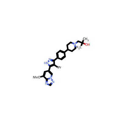 COc1cc(-c2[nH]nc(-c3ccc(C4CCN(CC(C)(C)O)CC4)cc3)c2C(C)C)cn2ncnc12